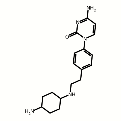 Nc1ccn(-c2ccc(CCNC3CCC(N)CC3)cc2)c(=O)n1